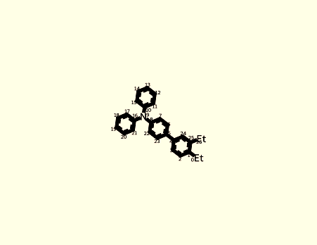 CCc1ccc(-c2ccc(N(c3ccccc3)c3ccccc3)cc2)cc1CC